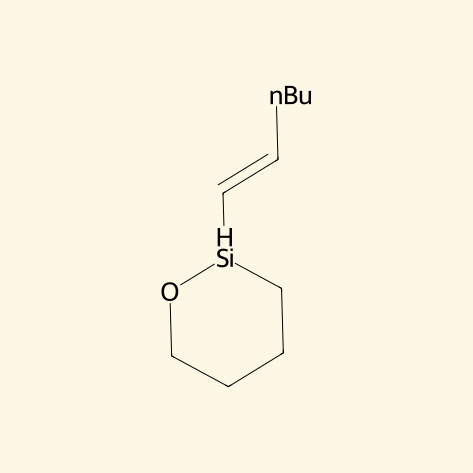 CCCCC=C[SiH]1CCCCO1